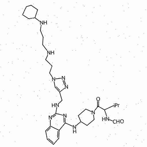 CC(C)C(NC=O)C(=O)N1CCC(Nc2nc(NCc3cn(CCCNCCCNC4CCCCC4)nn3)nc3ccccc23)CC1